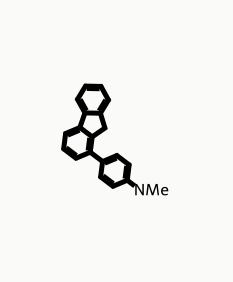 CNc1ccc(-c2cccc3c2Cc2ccccc2-3)cc1